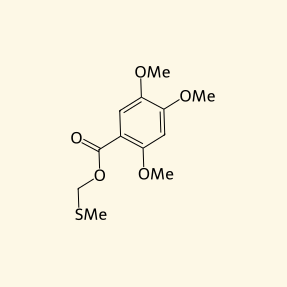 COc1cc(OC)c(C(=O)OCSC)cc1OC